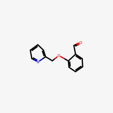 O=Cc1ccccc1OCc1ccccn1